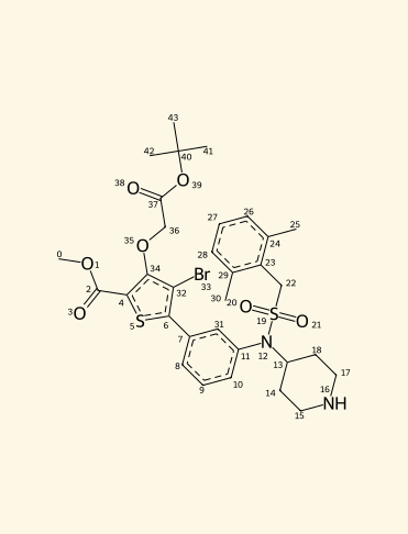 COC(=O)c1sc(-c2cccc(N(C3CCNCC3)S(=O)(=O)Cc3c(C)cccc3C)c2)c(Br)c1OCC(=O)OC(C)(C)C